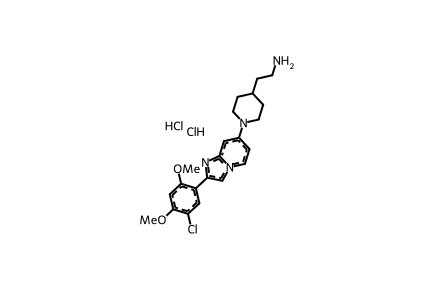 COc1cc(OC)c(-c2cn3ccc(N4CCC(CCN)CC4)cc3n2)cc1Cl.Cl.Cl